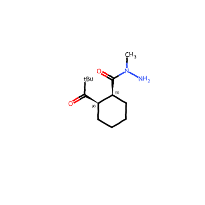 CN(N)C(=O)[C@H]1CCCC[C@H]1C(=O)C(C)(C)C